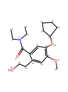 CCN(CC)C(=O)c1cc(OC2CCCC2)c(OC)cc1CCO